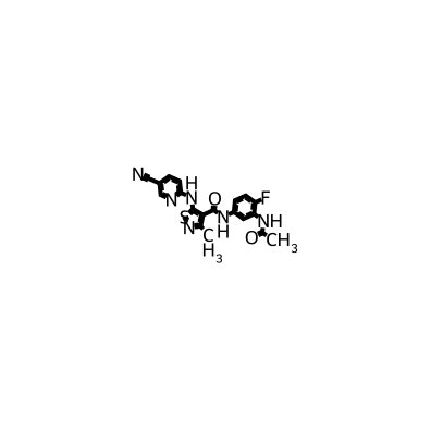 CC(=O)Nc1cc(NC(=O)c2c(C)nsc2Nc2ccc(C#N)cn2)ccc1F